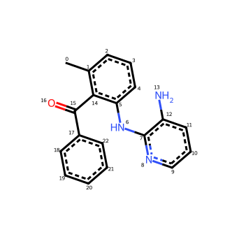 Cc1cccc(Nc2ncccc2N)c1C(=O)c1ccccc1